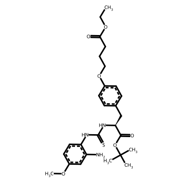 CCOC(=O)CCCOc1ccc(C[C@H](NC(=S)Nc2ccc(OC)cc2N)C(=O)OC(C)(C)C)cc1